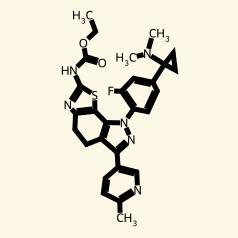 CCOC(=O)Nc1nc2c(s1)-c1c(c(-c3ccc(C)nc3)nn1-c1ccc(C3(N(C)C)CC3)cc1F)CC2